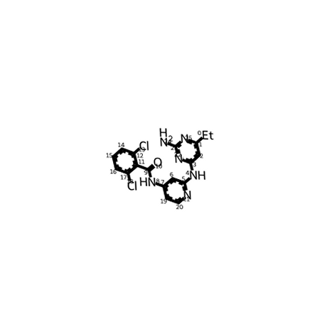 CCc1cc(Nc2cc(NC(=O)c3c(Cl)cccc3Cl)ccn2)nc(N)n1